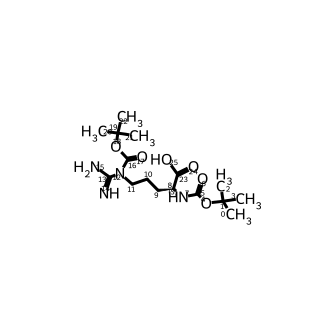 CC(C)(C)OC(=O)N[C@@H](CCCN(C(=N)N)C(=O)OC(C)(C)C)C(=O)O